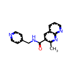 Cc1nc2ncccc2cc1C(=O)NCc1ccncc1